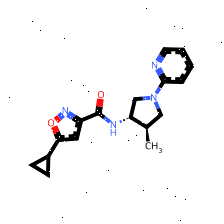 C[C@@H]1CN(c2ccccn2)C[C@H]1NC(=O)c1cc(C2CC2)on1